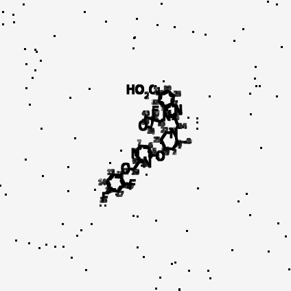 C[C@H]1C[C@@H](Oc2ccnc(COc3ccc(F)cc3F)n2)CCN1Cc1nc2ccc(C(=O)O)cc2n1CC1(F)COC1